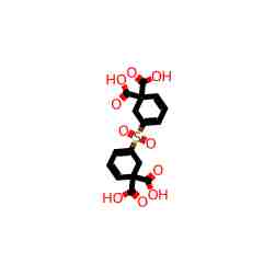 O=C(O)C1(C(=O)O)C=CC=C(S(=O)(=O)C2=CC=CC(C(=O)O)(C(=O)O)C2)C1